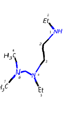 CCNCCN(CC)N(C)C